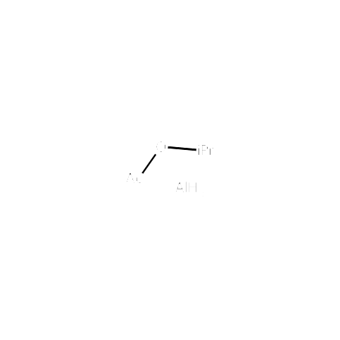 CC(=O)OC(C)C.[AlH3]